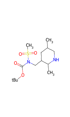 CC1CNC(C)C(CN(C(=O)OC(C)(C)C)S(C)(=O)=O)C1